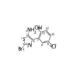 Nc1sc(Br)nc1-c1cc(Cl)ccc1O